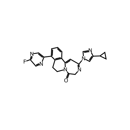 O=C1CN=C(n2cnc(C3CC3)c2)C=C2c3cccc(-c4cnc(F)cn4)c3CCN12